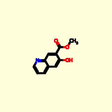 COC(=O)c1cc2ncccc2cc1O